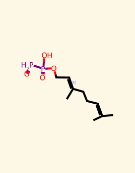 CC(C)=CCC/C(C)=C/COP(=O)(O)[PH2]=O